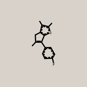 CC1=C(c2ccc(F)cc2)c2sc(C)c(C)c2C1